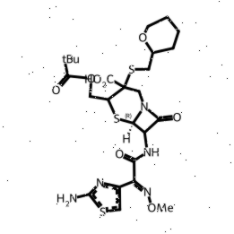 CON=C(C(=O)NC1C(=O)N2CC(SCC3CCCCO3)(C(=O)O)C(COC(=O)C(C)(C)C)S[C@H]12)c1csc(N)n1